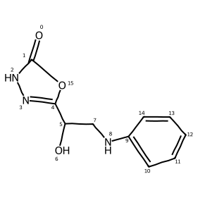 O=c1[nH]nc(C(O)CNc2ccccc2)o1